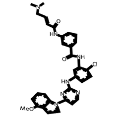 COc1cccc2c1ccn2-c1ccnc(Nc2ccc(Cl)c(NC(=O)c3cccc(NC(=O)C=CCN(C)C)c3)c2)n1